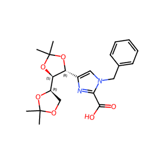 CC1(C)O[C@H]([C@H]2COC(C)(C)O2)[C@@H](c2cn(Cc3ccccc3)c(C(=O)O)n2)O1